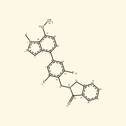 Cn1ncc2c(-c3cc(F)c(CN4Cc5ncccc5C4=O)c(F)c3)ccc(OC(F)(F)F)c21